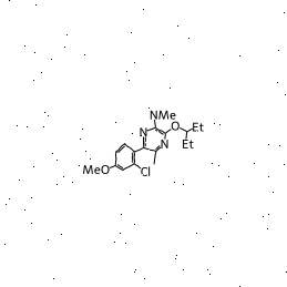 CCC(CC)Oc1nc(C)c(-c2ccc(OC)cc2Cl)nc1NC